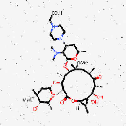 CO[C@]1(C)C[C@H](O[C@H]2[C@H](C)[C@@H](O[C@@H]3O[C@H](C)C[C@@H](N4CCN(CC(=O)O)CC4)[C@@H]3N(C)C)[C@@](C)(OC)C[C@@H](C)C(=O)[C@H](C)[C@@H](O)[C@@]3(O)C(C)[C@H]3OC(=O)[C@@H]2C)O[C@@H](C)[C@@H]1O